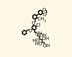 Cc1c(COc2cc(OCc3ccccc3)c(CNC[C@H](O)[C@@H](O)[C@H](O)[C@H](O)CO)cc2Cl)cccc1-c1ccc2c(c1)OCCO2